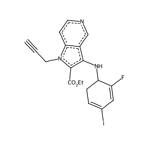 C#CCn1c(C(=O)OCC)c(NC2CC=C(I)C=C2F)c2cnccc21